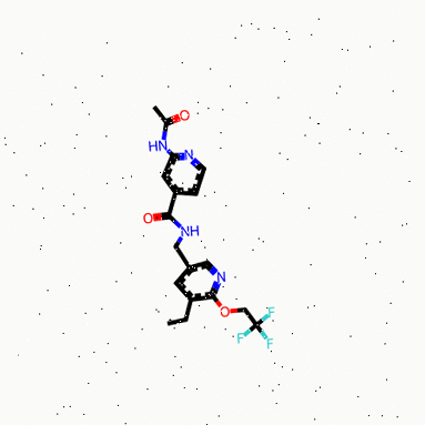 CCc1cc(CNC(=O)c2ccnc(NC(C)=O)c2)cnc1OCC(F)(F)F